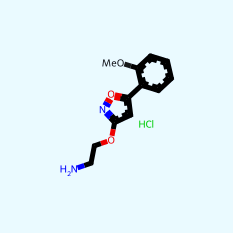 COc1ccccc1-c1cc(OCCN)no1.Cl